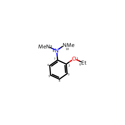 CCOc1ccccc1N(NC)NC